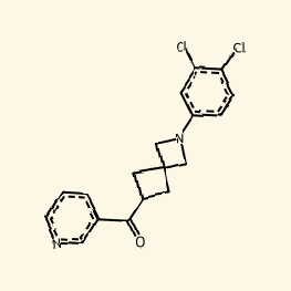 O=C(c1cccnc1)C1CC2(C1)CN(c1ccc(Cl)c(Cl)c1)C2